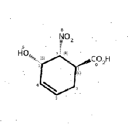 O=C(O)[C@H]1CC=C[C@H](O)[C@@H]1[N+](=O)[O-]